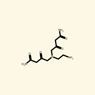 NCCN(CC(=O)CC(N)=O)CC(=O)CC(N)=O